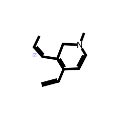 C=CC1=C(/C=C\C)CN(C)C=C1